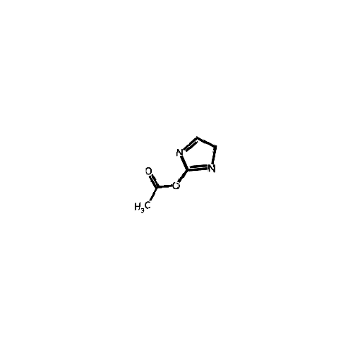 CC(=O)OC1=NCC=N1